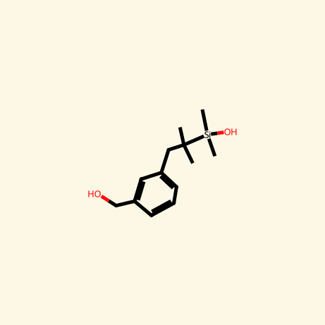 CC(C)(Cc1cccc(CO)c1)[Si](C)(C)O